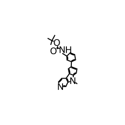 Cn1c2ccc(-c3cccc(CNC(=O)OC(C)(C)C)c3)cc2c2ccncc21